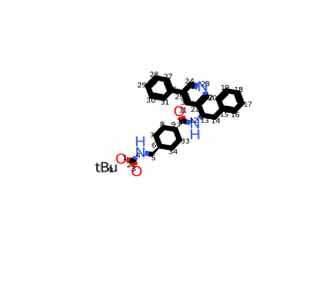 CC(C)(C)OC(=O)NC[C@H]1CC[C@H](C(=O)NC(Cc2ccccc2)c2cncc(-c3ccccc3)c2)CC1